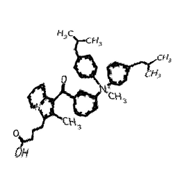 Cc1c(C(=O)c2cccc([N+](C)(c3ccc(CC(C)C)cc3)c3ccc(CC(C)C)cc3)c2)c2ccccn2c1CCCC(=O)O